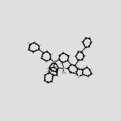 C[N+]1(c2ccccc2)c2cc3oc4ccccc4c3c(-c3ccc(-c4ccccc4)cc3)c2-c2cccc(N(c3ccc(-c4ccccc4)cc3)c3ccc4ccccc4c3)c21